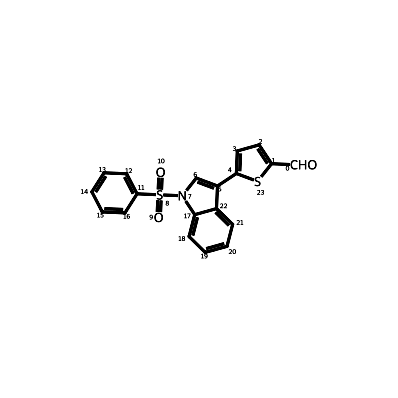 O=Cc1ccc(-c2cn(S(=O)(=O)c3ccccc3)c3ccccc23)s1